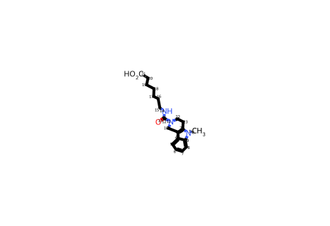 Cn1c2c(c3ccccc31)CN(C(=O)NCCCCCCC(=O)O)CC2